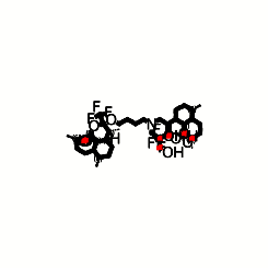 C[C@@H]1CCC2C(CN(CCCCO[C@@]3(C(F)(F)F)O[C@@H]4O[C@]5(C)CCC6[C@H](C)CC[C@@H]([C@H]3C)[C@]64OO5)CC(O)CO)=C(C(F)(F)F)O[C@@H]3O[C@]4(C)CCC1[C@@]23O4